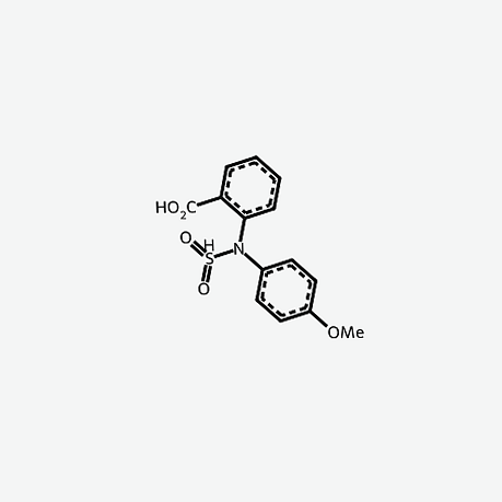 COc1ccc(N(c2ccccc2C(=O)O)[SH](=O)=O)cc1